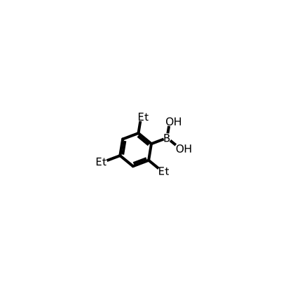 CCc1cc(CC)c(B(O)O)c(CC)c1